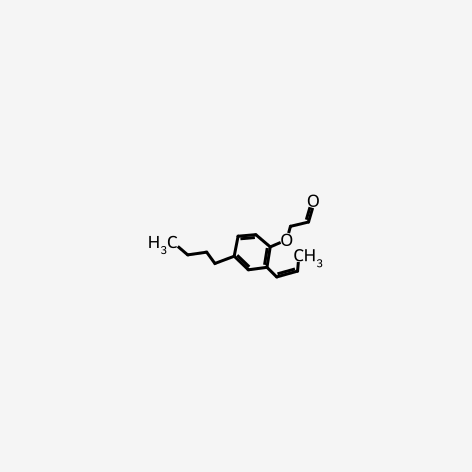 C/C=C\c1cc(CCCC)ccc1OCC=O